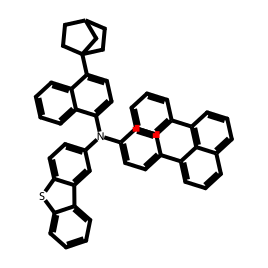 c1ccc(-c2cccc3cccc(-c4ccc(N(c5ccc6sc7ccccc7c6c5)c5ccc(C67CCC(CC6)C7)c6ccccc56)cc4)c23)cc1